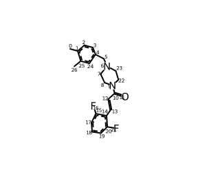 Cc1ccc(CN2CCN(C(=O)C=Cc3c(F)cccc3F)CC2)cc1C